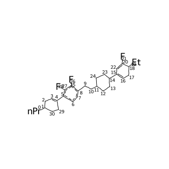 CCCC1CC=C(c2ccc(CCC3CCC(C4=CCC(CC)C(F)=C4)CC3)c(F)c2F)CC1